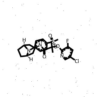 CC(C)(Oc1ncc(Cl)cc1F)C(=O)N[C@H]1C[C@H]2CC[C@@H](C1)N2c1ccc(S(C)(=O)=O)cc1